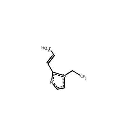 O=C(O)/C=C/c1nccn1CC(F)(F)F